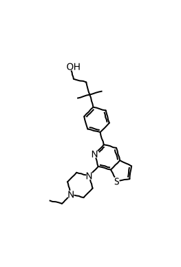 CCN1CCN(c2nc(-c3ccc(C(C)(C)CCO)cc3)cc3ccsc23)CC1